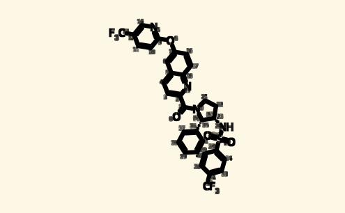 O=C(c1ccc2cc(Oc3ccc(C(F)(F)F)cn3)ccc2n1)N1CC[C@H](NS(=O)(=O)c2ccc(C(F)(F)F)cc2)[C@@H]1c1ccccc1